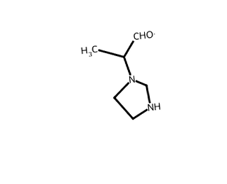 CC([C]=O)N1CCNC1